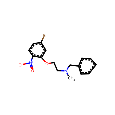 CN(CCOc1cc(Br)ccc1[N+](=O)[O-])Cc1ccccc1